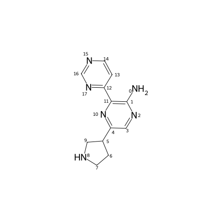 Nc1ncc(C2CCNC2)nc1-c1ccncn1